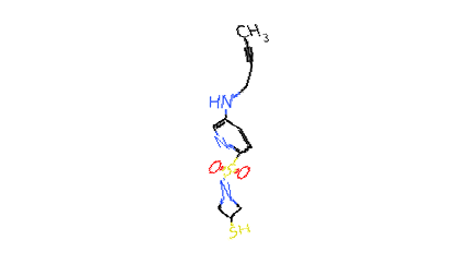 CC#CCNc1ccc(S(=O)(=O)N2CC(S)C2)nc1